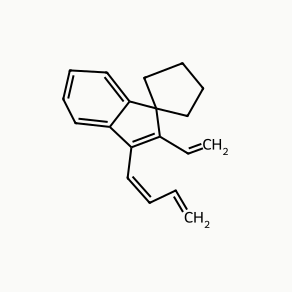 C=C/C=C\C1=C(C=C)C2(CCCC2)c2ccccc21